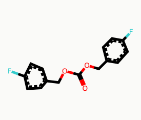 O=C(OCc1ccc(F)cc1)OCc1ccc(F)cc1